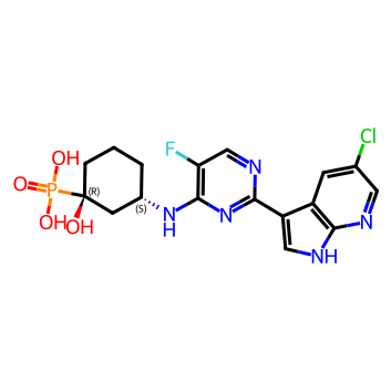 O=P(O)(O)[C@]1(O)CCC[C@H](Nc2nc(-c3c[nH]c4ncc(Cl)cc34)ncc2F)C1